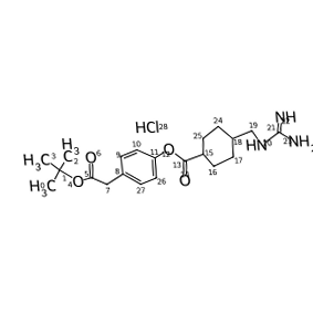 CC(C)(C)OC(=O)Cc1ccc(OC(=O)C2CCC(CNC(=N)N)CC2)cc1.Cl